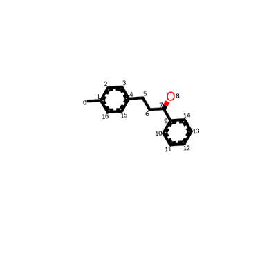 Cc1ccc(CCC(=O)c2ccccc2)cc1